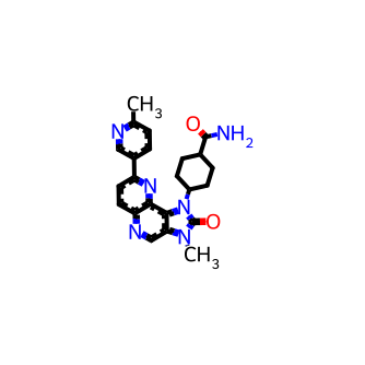 Cc1ccc(-c2ccc3ncc4c(c3n2)n(C2CCC(C(N)=O)CC2)c(=O)n4C)cn1